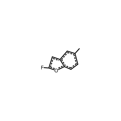 Cc1ccc2oc(F)cc2c1